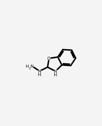 NNC1Nc2ccccc2O1